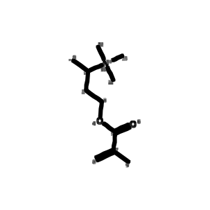 [CH2]C(CCOC(=O)C(=C)C)[N+](C)(C)C